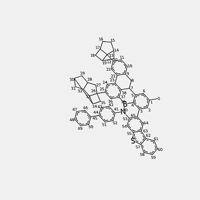 Cc1cc2c3c(c1)C1Cc4ccc(C56C7CCC5CC6C7)cc4-c4cc(C56CC7CC8CC7C5C8C6)cc(c41)B3N(c1ccc(-c3ccccc3)cc1)c1cc3sc4ccccc4c3cc1-2